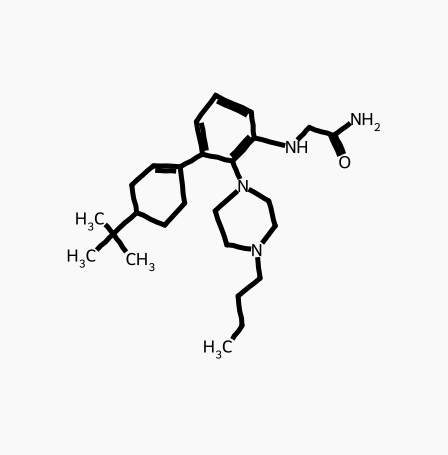 CCCCN1CCN(c2c(NCC(N)=O)cccc2C2=CCC(C(C)(C)C)CC2)CC1